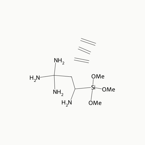 C=C.C=C.C=C.CO[Si](OC)(OC)C(N)CC(N)(N)N